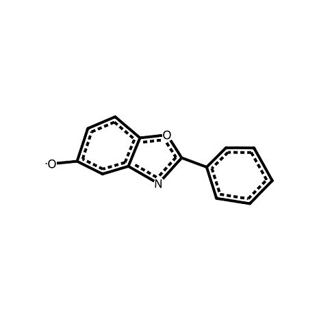 [O]c1ccc2oc(-c3ccccc3)nc2c1